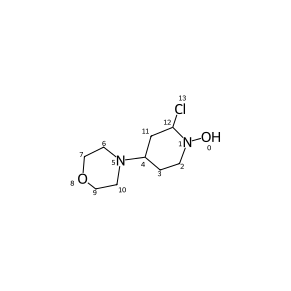 ON1CCC(N2CCOCC2)CC1Cl